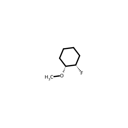 CO[C@@H]1CCCC[C@@H]1F